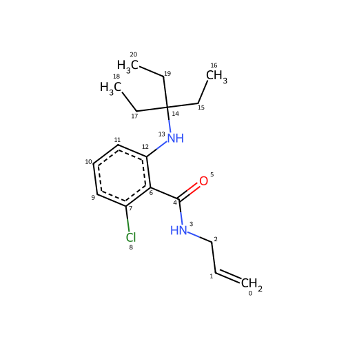 C=CCNC(=O)c1c(Cl)cccc1NC(CC)(CC)CC